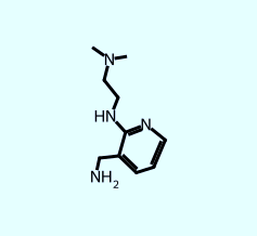 CN(C)CCNc1ncccc1CN